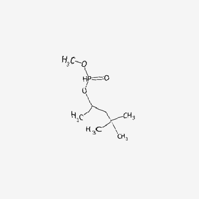 CO[PH](=O)OC(C)CC(C)(C)C